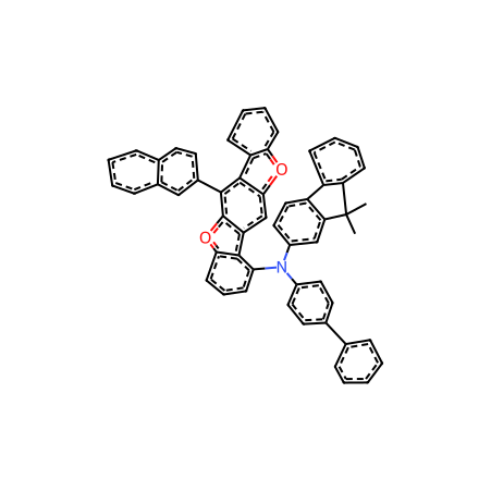 CC1(C)c2ccccc2-c2ccc(N(c3ccc(-c4ccccc4)cc3)c3cccc4oc5c(-c6ccc7ccccc7c6)c6c(cc5c34)oc3ccccc36)cc21